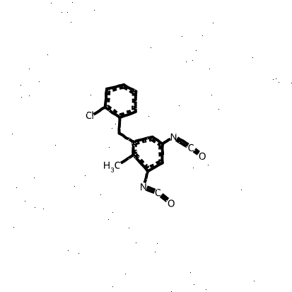 Cc1c(Cc2ccccc2Cl)cc(N=C=O)cc1N=C=O